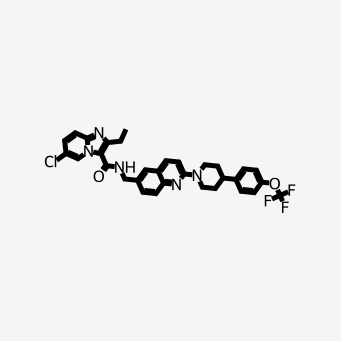 CCc1nc2ccc(Cl)cn2c1C(=O)NCc1ccc2nc(N3CCC(c4ccc(OC(F)(F)F)cc4)CC3)ccc2c1